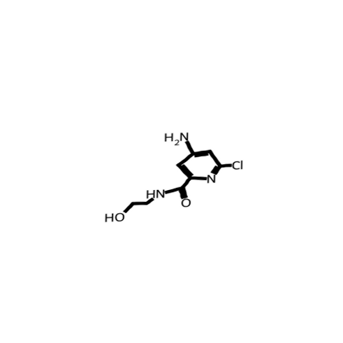 Nc1cc(Cl)nc(C(=O)NCCO)c1